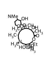 CC[C@H]1OC(=O)[C@H](C)[C@@H](O)[C@H](C)[C@@H](O[C@@H]2OCC[C@@H](NC)[C@H]2O)[C@](C)(O)C[C@@H](C)CN(C)C[C@@](C)(O)[C@@]1(C)O